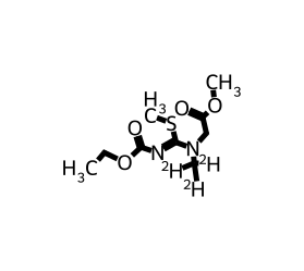 [2H]C([2H])([2H])N(CC(=O)OC)C(=NC(=O)OCC)SC